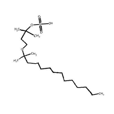 CCCCCCCCCCCCC(C)(C)OCCC(C)(C)OS(=O)(=O)O